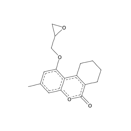 Cc1cc(OCC2CO2)c2c3c(c(=O)oc2c1)CCCC3